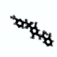 Cc1cc(NS(=O)(=O)c2cc(Cl)c(N[C@@H](N)c3ccccc3Cl)cc2F)ncn1